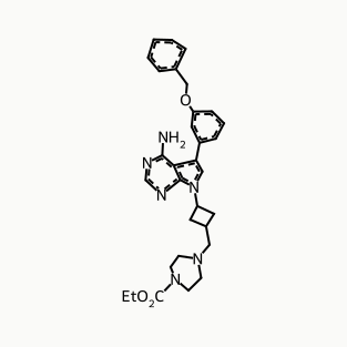 CCOC(=O)N1CCN(CC2CC(n3cc(-c4cccc(OCc5ccccc5)c4)c4c(N)ncnc43)C2)CC1